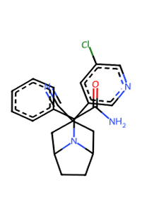 N#CC1(c2cncc(Cl)c2)CC2CCC(C1)N2C(C(N)=O)c1ccccc1